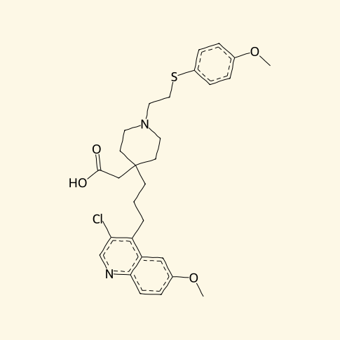 COc1ccc(SCCN2CCC(CCCc3c(Cl)cnc4ccc(OC)cc34)(CC(=O)O)CC2)cc1